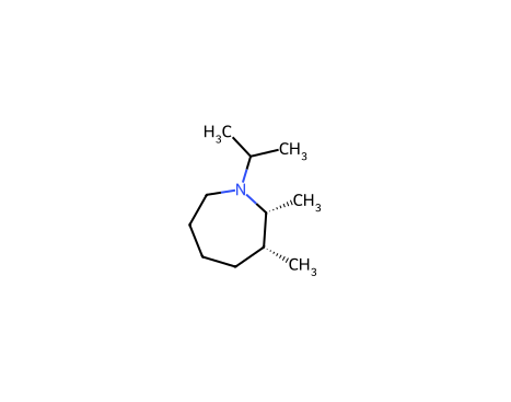 CC(C)N1CCCC[C@@H](C)[C@H]1C